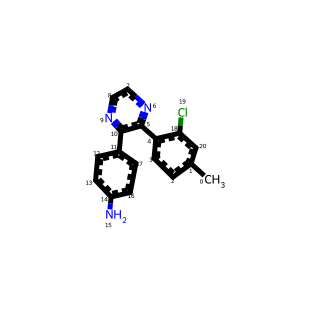 Cc1ccc(-c2nccnc2-c2ccc(N)cc2)c(Cl)c1